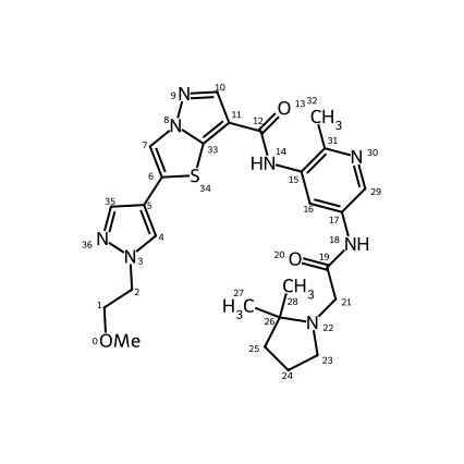 COCCn1cc(-c2cn3ncc(C(=O)Nc4cc(NC(=O)CN5CCCC5(C)C)cnc4C)c3s2)cn1